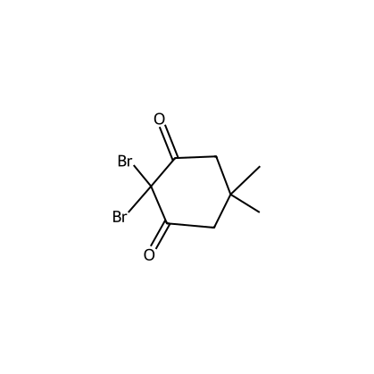 CC1(C)CC(=O)C(Br)(Br)C(=O)C1